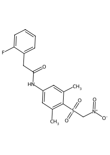 Cc1cc(NC(=O)Cc2ccccc2F)cc(C)c1S(=O)(=O)C[N+](=O)[O-]